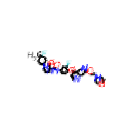 CC1(F)CCCC(n2cccc(C(=O)Nc3ccc(Oc4ccnc5cc(OCCN6CCOCC6)ncc45)c(F)c3)c2=O)CC1